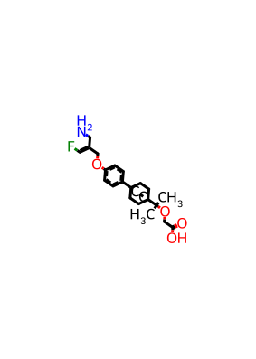 CC(C)(OCC(=O)O)C12CCC(c3ccc(OCC(=CF)CN)cc3)(CC1)CC2